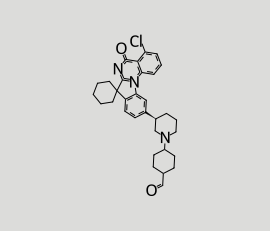 O=CC1CCC(N2CCC[C@H](c3ccc4c(c3)-n3c(nc(=O)c5c(Cl)cccc53)C43CCCCC3)C2)CC1